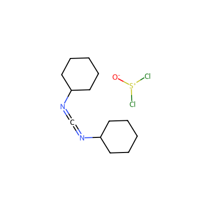 C(=NC1CCCCC1)=NC1CCCCC1.[O-][S+](Cl)Cl